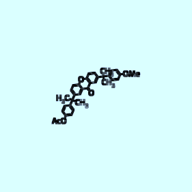 COc1ccc(C(C)(C)c2ccc3oc4ccc(C(C)(C)c5ccc(OC(C)=O)cc5)cc4c(=O)c3c2)cc1